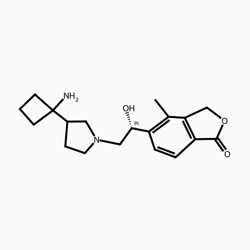 Cc1c([C@@H](O)CN2CCC(C3(N)CCC3)C2)ccc2c1COC2=O